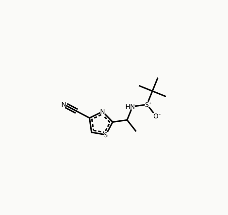 CC(N[S+]([O-])C(C)(C)C)c1nc(C#N)cs1